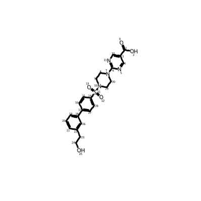 O=C(O)c1cnc(N2CCN(S(=O)(=O)c3ccc(-c4cccc(CCO)c4)cc3)CC2)nc1